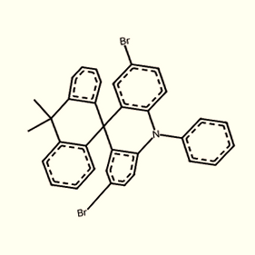 CC1(C)c2ccccc2C2(c3cc(Br)ccc3N(c3ccccc3)c3ccc(Br)cc32)c2ccccc21